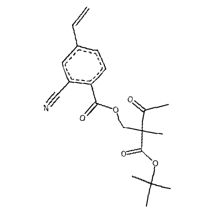 C=Cc1ccc(C(=O)OCC(C)(C(C)=O)C(=O)OC(C)(C)C)c(C#N)c1